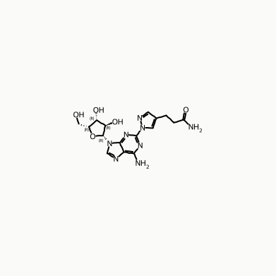 NC(=O)CCc1cnn(-c2nc(N)c3ncn([C@@H]4O[C@H](CO)[C@H](O)[C@H]4O)c3n2)c1